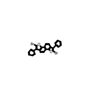 Brc1oc2c(ccc3c2ccc2c(-c4ccccc4)c(Br)oc23)c1-c1ccccc1